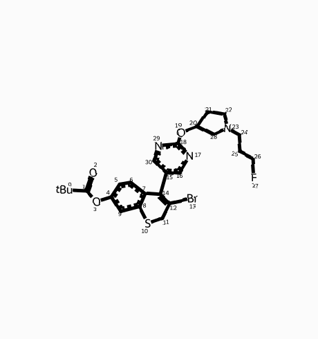 CC(C)(C)C(=O)Oc1ccc2c(c1)SCC(Br)=C2c1cnc(OC2CCN(CCCF)C2)nc1